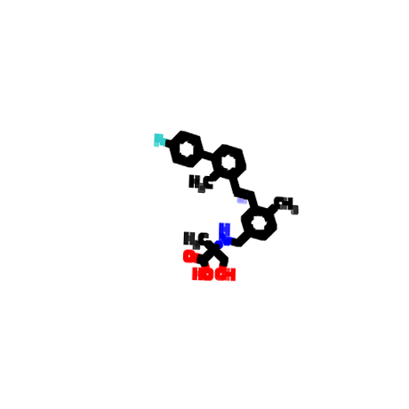 Cc1ccc(CNC(C)(CO)C(=O)O)cc1/C=C/c1cccc(-c2ccc(F)cc2)c1C